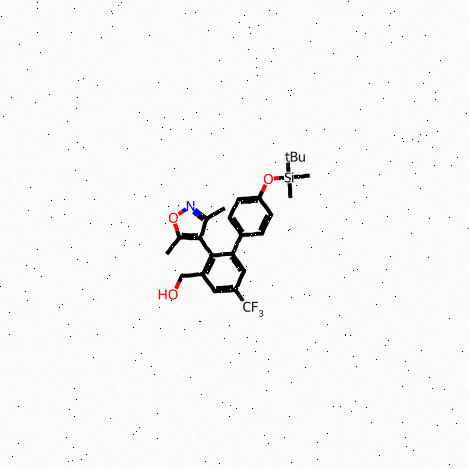 Cc1noc(C)c1-c1c(CO)cc(C(F)(F)F)cc1-c1ccc(O[Si](C)(C)C(C)(C)C)cc1